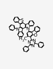 Cc1cc(-n2c3ccccc3c3c4sc5ccccc5c4c4c(c5ccccc5n4-c4ccccc4)c32)c2c(oc3ccccc32)c1-c1nc(-c2ccccc2)nc(-c2ccccc2)n1